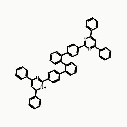 C1=C(c2ccccc2)N=C(c2ccc(-c3ccccc3-c3ccccc3-c3ccc(-c4nc(-c5ccccc5)cc(-c5ccccc5)n4)cc3)cc2)NC1c1ccccc1